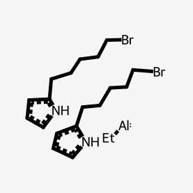 BrCCCCCc1ccc[nH]1.BrCCCCCc1ccc[nH]1.C[CH2][Al]